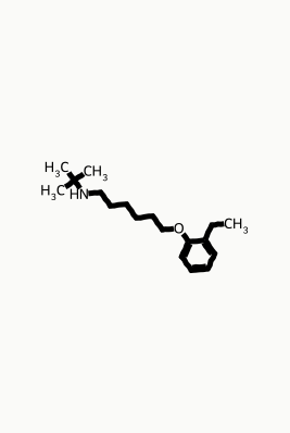 CCc1ccccc1OCCCCCCNC(C)(C)C